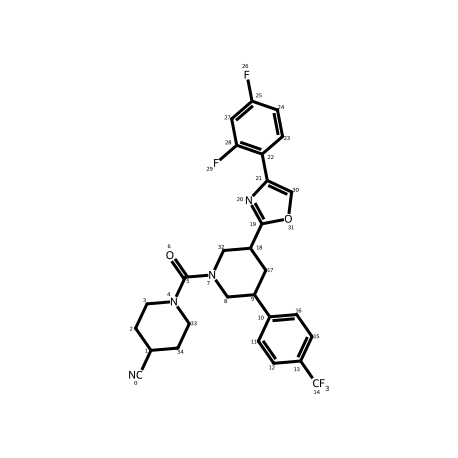 N#CC1CCN(C(=O)N2CC(c3ccc(C(F)(F)F)cc3)CC(c3nc(-c4ccc(F)cc4F)co3)C2)CC1